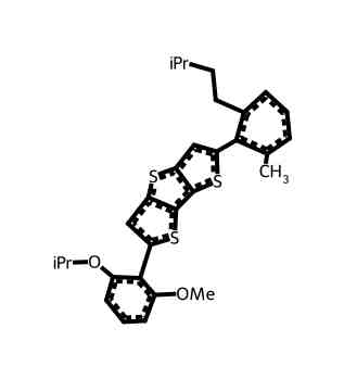 COc1cccc(OC(C)C)c1-c1cc2sc3cc(-c4c(C)cccc4CCC(C)C)sc3c2s1